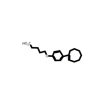 O=C(O)CCCCOc1ccc(/C2=C/CCCCCC2)cc1